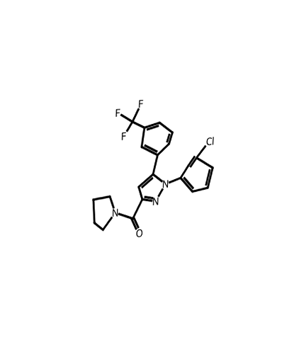 O=C(c1cc(-c2cccc(C(F)(F)F)c2)n(-c2cccc(Cl)c2)n1)N1CCCC1